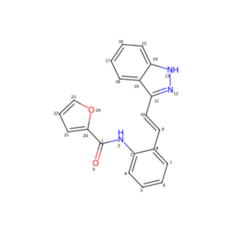 O=C(Nc1ccccc1C=Cc1n[nH]c2ccccc12)c1ccco1